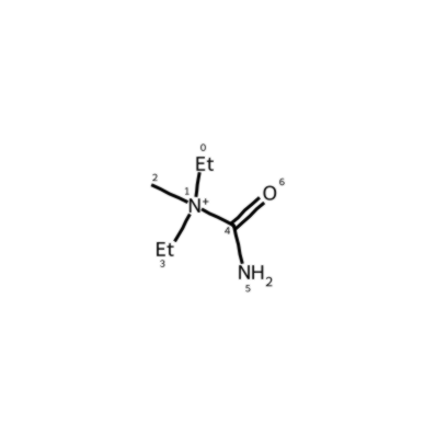 [CH2]C[N+](C)(CC)C(N)=O